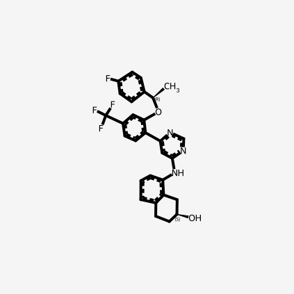 C[C@@H](Oc1cc(C(F)(F)F)ccc1-c1cc(Nc2cccc3c2C[C@@H](O)CC3)ncn1)c1ccc(F)cc1